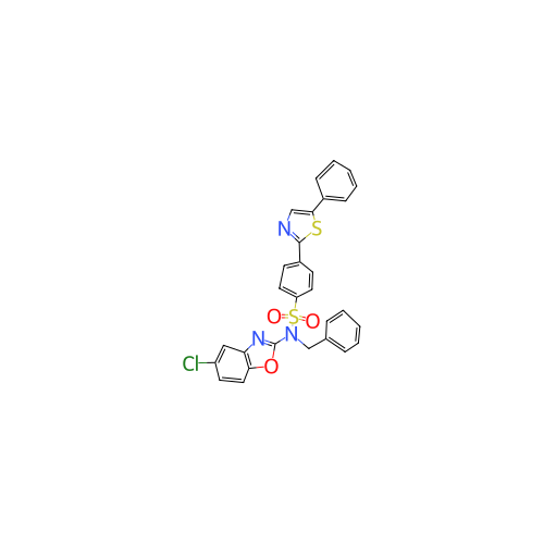 O=S(=O)(c1ccc(-c2ncc(-c3ccccc3)s2)cc1)N(Cc1ccccc1)c1nc2cc(Cl)ccc2o1